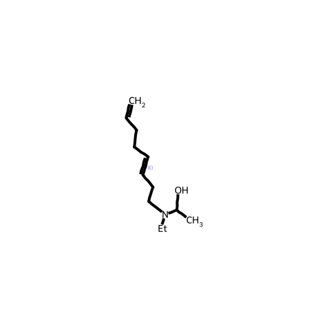 C=CCC/C=C/CCN(CC)C(C)O